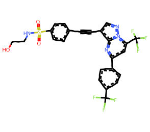 O=S(=O)(NCCO)c1ccc(C#Cc2cnn3c(C(F)(F)F)cc(-c4ccc(C(F)(F)F)cc4)nc23)cc1